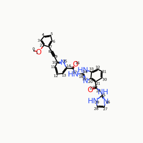 COc1ccccc1C#Cc1cccc(C(=O)Nc2nc3c(C(=O)Nc4ncc[nH]4)cccc3[nH]2)n1